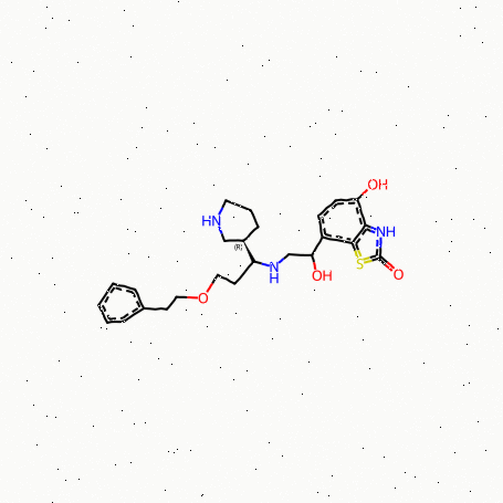 O=c1[nH]c2c(O)ccc(C(O)CNC(CCOCCc3ccccc3)[C@@H]3CCCNC3)c2s1